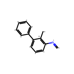 C=Nc1cccc(-c2ccccc2)c1C